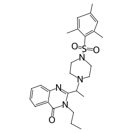 CCCn1c(C(C)N2CCN(S(=O)(=O)c3c(C)cc(C)cc3C)CC2)nc2ccccc2c1=O